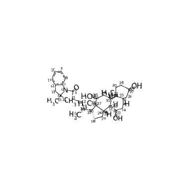 C[C@H](CCC(=O)N1c2ccccc2CC1(C)C)[C@H]1CC[C@H]2[C@@H]3[C@H](O)C[C@@H]4C[C@H](O)CC[C@]4(C)[C@H]3C[C@H](O)[C@]12C